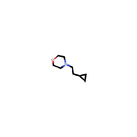 C1CN(CC[C]2CC2)CCO1